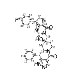 O=C(c1cn[nH]c1Cc1ccccc1)N1CCC(O)(Cn2cnn3c(-c4ccc(F)cc4)cnc3c2=O)CC1